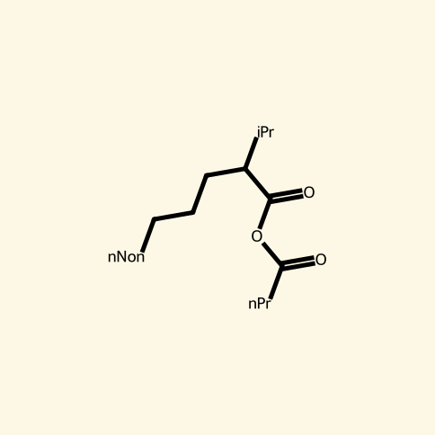 CCCCCCCCCCCCC(C(=O)OC(=O)CCC)C(C)C